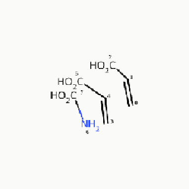 C=CC(=O)O.C=CC(=O)O.NC(=O)O